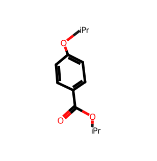 CC(C)OC(=O)c1ccc(OC(C)C)cc1